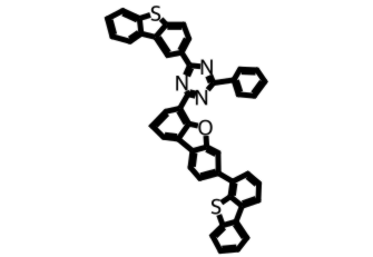 c1ccc(-c2nc(-c3ccc4sc5ccccc5c4c3)nc(-c3cccc4c3oc3cc(-c5cccc6c5sc5ccccc56)ccc34)n2)cc1